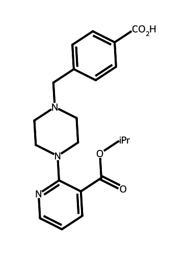 CC(C)OC(=O)c1cccnc1N1CCN(Cc2ccc(C(=O)O)cc2)CC1